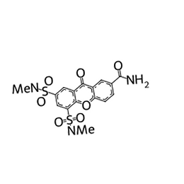 CNS(=O)(=O)c1cc(S(=O)(=O)NC)c2oc3ccc(C(N)=O)cc3c(=O)c2c1